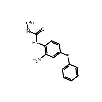 CCCCNC(=O)Nc1ccc(Sc2ccccc2)cc1N